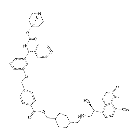 O=C(NC(c1ccccc1)c1cccc(OCc2ccc(C(=O)OCC3CCC(CNC[C@@H](O)c4ccc(O)c5[nH]c(=O)ccc45)CC3)cc2)c1)OC12CCN(CC1)CC2